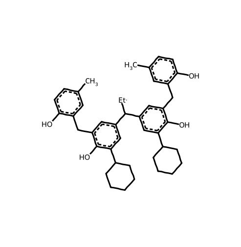 C[CH]C(c1cc(Cc2cc(C)ccc2O)c(O)c(C2CCCCC2)c1)c1cc(Cc2cc(C)ccc2O)c(O)c(C2CCCCC2)c1